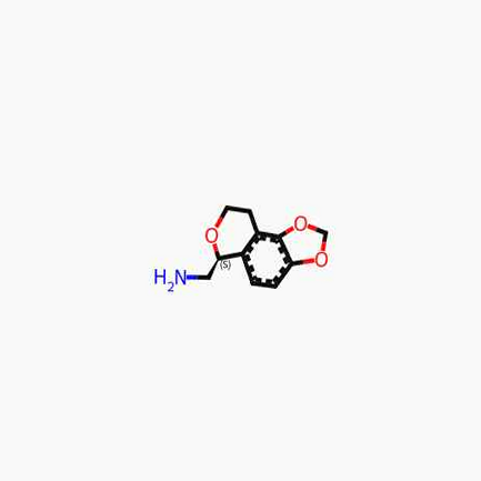 NC[C@H]1OCCc2c1ccc1c2OCO1